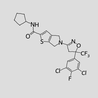 O=C(NC1CCCC1)c1cc2c(s1)CN(C1=NOC(c3cc(Cl)c(F)c(Cl)c3)(C(F)(F)F)C1)C2